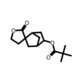 CC(C)(C)C(=O)OC1CC2CC1CC21CCOC1=O